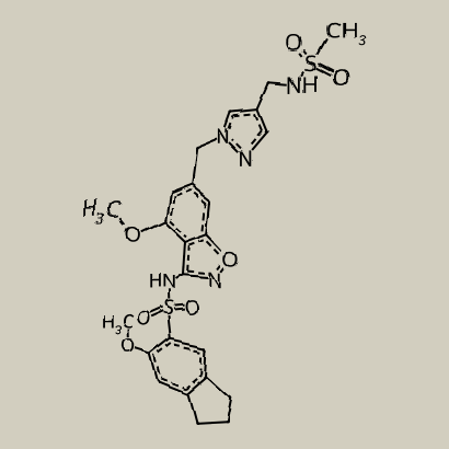 COc1cc2c(cc1S(=O)(=O)Nc1noc3cc(Cn4cc(CNS(C)(=O)=O)cn4)cc(OC)c13)CCC2